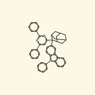 c1ccc(-c2cc(C3(c4ccc5c(c4)c4ccccc4n5-c4ccccc4)C4CC5CC(C4)CC3C5)nc(-c3ccccc3)n2)cc1